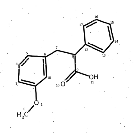 COc1cccc(CC(C(=O)O)c2ccccc2)c1